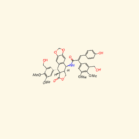 COc1cc(/C(=C\c2ccc(O)cc2)C(=O)N[C@@H]2c3cc4c(cc3[C@@H](c3cc(CO)c(OC)c(OC)c3)[C@H]3C(=O)OC[C@@H]32)OCO4)cc(CO)c1OC